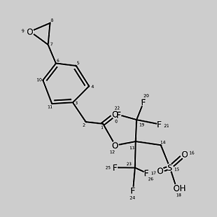 O=C(Cc1ccc(C2CO2)cc1)OC(CS(=O)(=O)O)(C(F)(F)F)C(F)(F)F